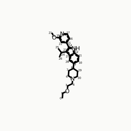 CCOCCN1CCC(c2ccc3[nH]c(-c4ccnc(OC)c4)c(C(C)C)c3c2)CC1